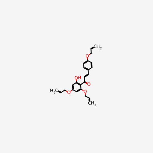 C=CCOc1ccc(/C=C/C(=O)c2c(O)cc(OCC=C)cc2OCC=C)cc1